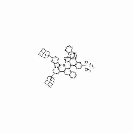 CC(C)(C)c1ccc(N2c3c4c(cc5ccccc35)-c3cc(C56CC7CC8CC(C5)C87C6)cc5c6cc(C78CC9CC%10CC(C7)C%109C8)ccc6n(c35)B4c3oc4c(ccc5ccccc54)c32)c(-c2ccccc2)c1